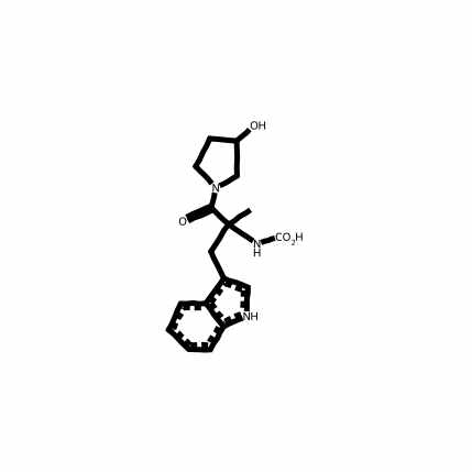 CC(Cc1c[nH]c2ccccc12)(NC(=O)O)C(=O)N1CCC(O)C1